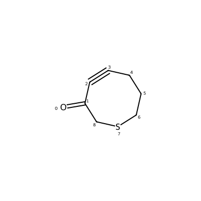 O=C1C#CCCCSC1